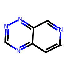 [c]1cc2ncnnc2cn1